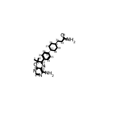 CC1(C)Oc2ncnc(N)c2N=C1c1ccc([C@H]2CC[C@H](CCC(N)=O)CC2)cc1